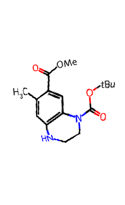 COC(=O)c1cc2c(cc1C)NCCN2C(=O)OC(C)(C)C